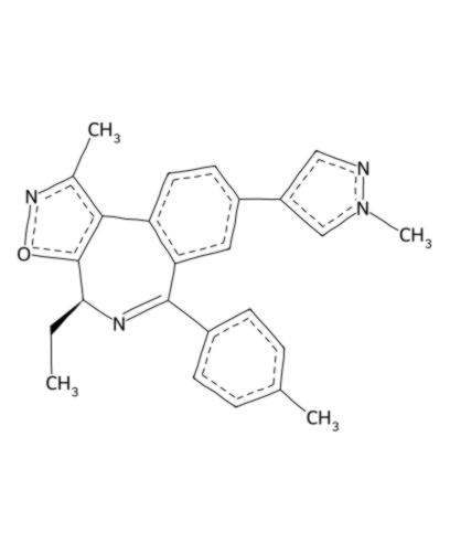 CC[C@@H]1N=C(c2ccc(C)cc2)c2cc(-c3cnn(C)c3)ccc2-c2c(C)noc21